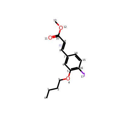 CCCCOc1cc(/C=C/C(=O)OC)ccc1I